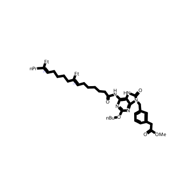 CCCCOc1nc(NC(=O)CCCCC/C=C(\CC)CCCC/C=C(\CC)CCC)c2[nH]c(=O)n(Cc3cccc(CC(=O)OC)c3)c2n1